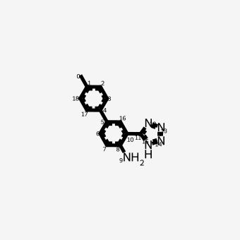 Cc1ccc(-c2ccc(N)c(-c3nnn[nH]3)c2)cc1